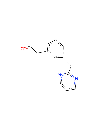 O=CCc1cccc(Cc2ncccn2)c1